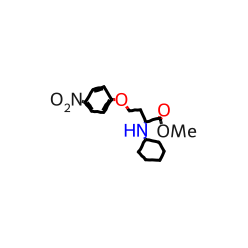 COC(=O)C(CCOc1ccc([N+](=O)[O-])cc1)NC1CCCCC1